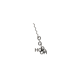 CCCCCCCCCOCCOCCOP(=O)(O)O